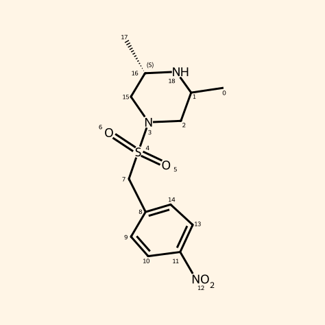 CC1CN(S(=O)(=O)Cc2ccc([N+](=O)[O-])cc2)C[C@H](C)N1